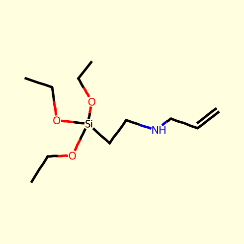 C=CCNCC[Si](OCC)(OCC)OCC